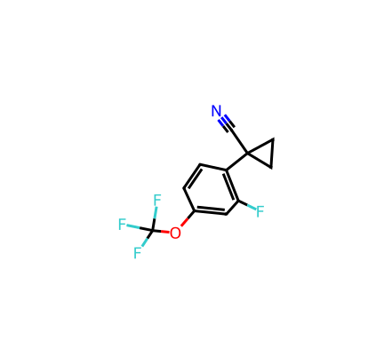 N#CC1(c2ccc(OC(F)(F)F)cc2F)CC1